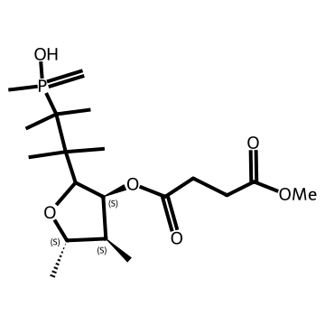 C=P(C)(O)C(C)(C)C(C)(C)C1O[C@@H](C)[C@H](C)[C@@H]1OC(=O)CCC(=O)OC